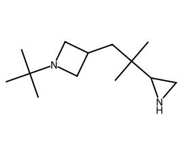 CC(C)(CC1CN(C(C)(C)C)C1)C1CN1